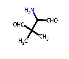 CC(C)(C=O)C(N)C=O